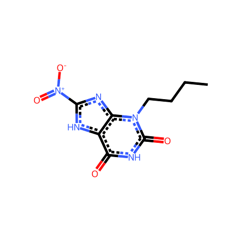 CCCCn1c(=O)[nH]c(=O)c2[nH]c([N+](=O)[O-])nc21